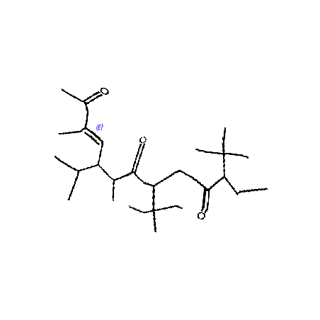 CCC(C(=O)CC(C(=O)C(C)C(/C=C(\C)C(C)=O)C(C)C)C(C)(C)C)C(C)(C)C